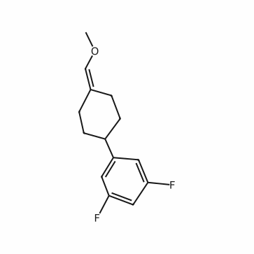 COC=C1CCC(c2cc(F)cc(F)c2)CC1